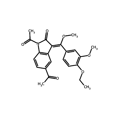 CCOc1ccc(/C(OC)=C2/C(=O)N(C(C)=O)c3ccc(C(C)=O)cc32)cc1OC